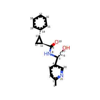 Cc1ccc([C@H](CO)NC(=O)[C@H]2C[C@@H]2c2ccccc2)cn1